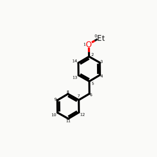 CCOc1ccc(Cc2ccccc2)cc1